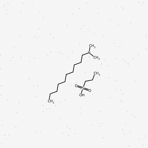 CCCCCCCCCCN(C)C.CCCS(=O)(=O)O